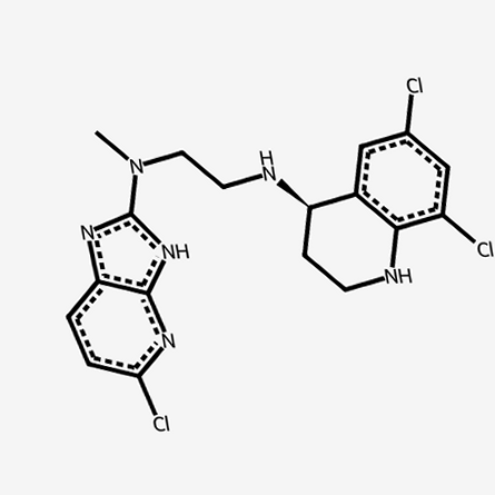 CN(CCN[C@@H]1CCNc2c(Cl)cc(Cl)cc21)c1nc2ccc(Cl)nc2[nH]1